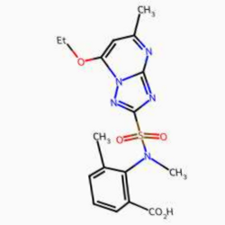 CCOc1cc(C)nc2nc(S(=O)(=O)N(C)c3c(C)cccc3C(=O)O)nn12